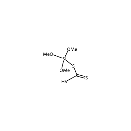 CO[Si](OC)(OC)SC(=S)S